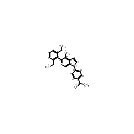 CCc1cccc(CC)c1-c1ncc2c(ccn2-c2ccc(C(C)C)cc2)c1C